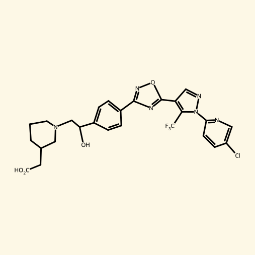 O=C(O)CC1CCCN(CC(O)c2ccc(-c3noc(-c4cnn(-c5ccc(Cl)cn5)c4C(F)(F)F)n3)cc2)C1